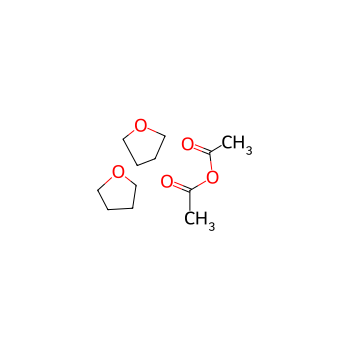 C1CCOC1.C1CCOC1.CC(=O)OC(C)=O